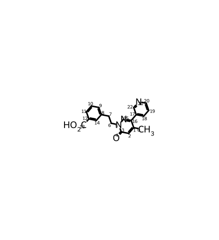 Cc1cc(=O)n(CCc2cccc(C(=O)O)c2)nc1-c1cccnc1